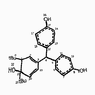 CC(C)(C)C1C=C(C(c2ccc(O)cc2)c2ccc(O)cc2)C=CC1(O)C(C)(C)C